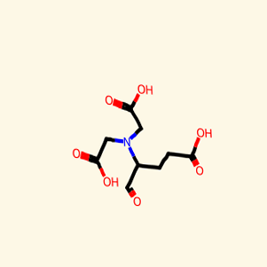 O=CC(CCC(=O)O)N(CC(=O)O)CC(=O)O